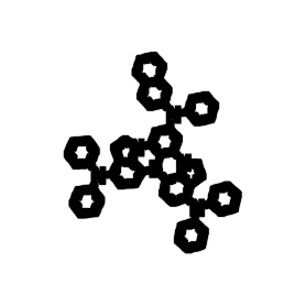 c1ccc(N(c2cc3c4c(c2)-n2ccc5c(N(c6ccccc6)c6ccccc6)ccc(c52)B4c2ccc(N(c4ccccc4)c4ccccc4)c4ccn-3c24)c2ccc3ccccc3c2)cc1